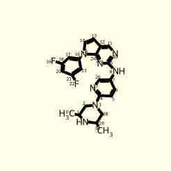 CC1CN(c2ccc(Nc3ncc4ccn(-c5cc(F)cc(F)c5)c4n3)cn2)CC(C)N1